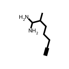 C#CCCCC(C)C(N)N